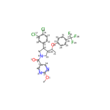 COc1ncc(C(=O)N2CC(c3ccc(Cl)c(Cl)c3)C(C(C)Oc3ccc(C(F)(F)F)cc3)C2)cn1